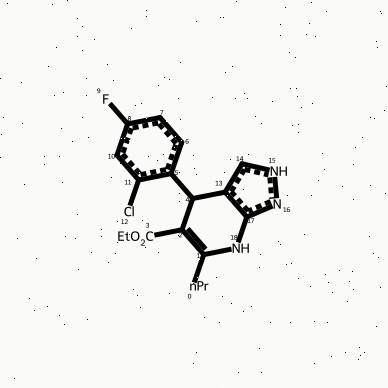 CCCC1=C(C(=O)OCC)C(c2ccc(F)cc2Cl)c2c[nH]nc2N1